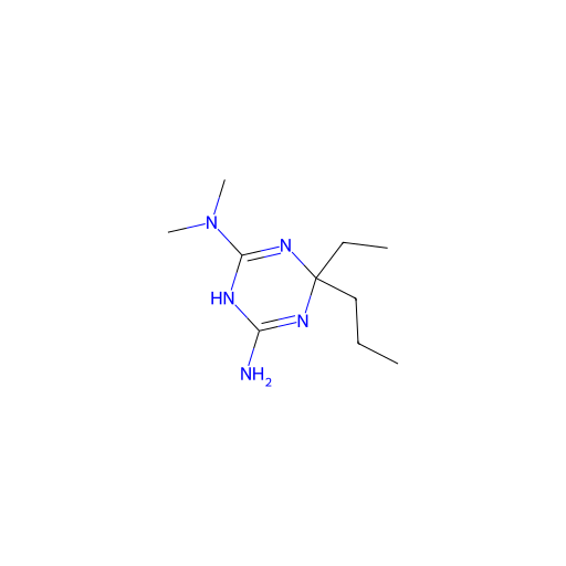 CCCC1(CC)N=C(N)NC(N(C)C)=N1